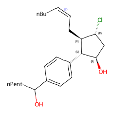 CCCC/C=C\C[C@@H]1[C@@H](c2ccc(C(O)CCCCC)cc2)[C@H](O)C[C@H]1Cl